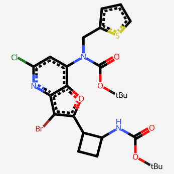 CC(C)(C)OC(=O)NC1CCC1c1oc2c(N(Cc3cccs3)C(=O)OC(C)(C)C)cc(Cl)nc2c1Br